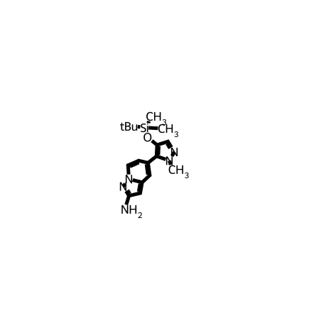 Cn1ncc(O[Si](C)(C)C(C)(C)C)c1-c1ccn2nc(N)cc2c1